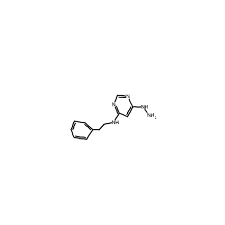 NNc1cc(NCCc2ccccc2)ncn1